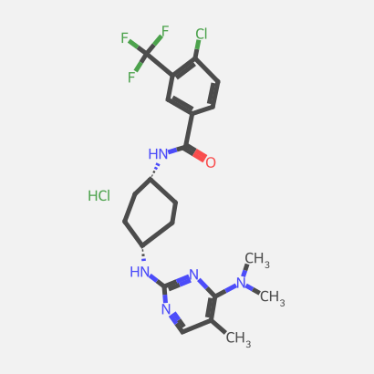 Cc1cnc(N[C@H]2CC[C@@H](NC(=O)c3ccc(Cl)c(C(F)(F)F)c3)CC2)nc1N(C)C.Cl